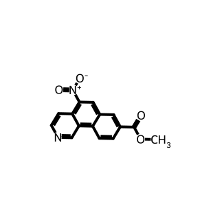 COC(=O)c1ccc2c(c1)cc([N+](=O)[O-])c1ccncc12